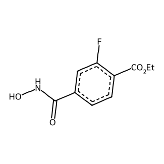 CCOC(=O)c1ccc(C(=O)NO)cc1F